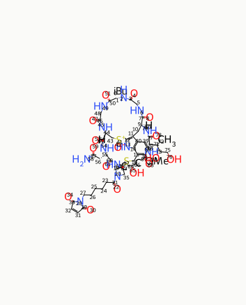 CC[C@H](C)[C@@H]1NC(=O)CNC(=O)[C@@H]2Cc3c([nH]c4c(CSC5CN(C(=O)CCCCCN6C(=O)C=CC6=O)C5)c(OC)ccc34)[S+]([O-])C[C@H](NC(=O)CNC1=O)C(=O)N[C@@H](CC(N)=O)C(=O)NC[C@H](O)CC(=O)N[C@@H]([C@@H](C)[C@@H](O)CO)C(=O)N2